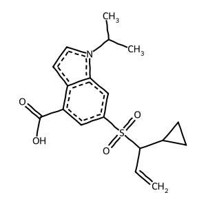 C=CC(C1CC1)S(=O)(=O)c1cc(C(=O)O)c2ccn(C(C)C)c2c1